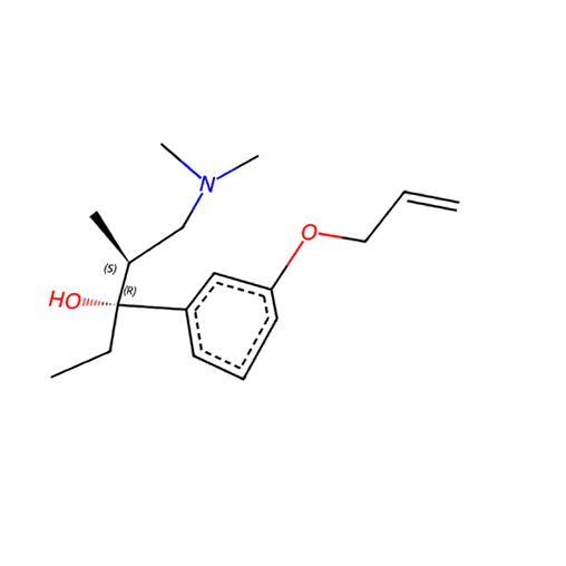 C=CCOc1cccc([C@@](O)(CC)[C@@H](C)CN(C)C)c1